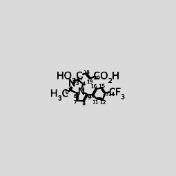 CC1=NCCn2c1ccc2-c1ccc(C(F)(F)F)cc1.O=C(O)/C=C/C(=O)O